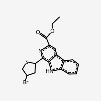 CCOC(=O)c1cc2c([nH]c3ccccc32)c(C2CC(Br)CS2)n1